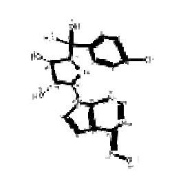 C[C@@](O)(c1ccc(Cl)cc1)[C@H]1O[C@@H](n2ccc3/c(=N/O)nc[nH]c32)[C@H](O)[C@@H]1O